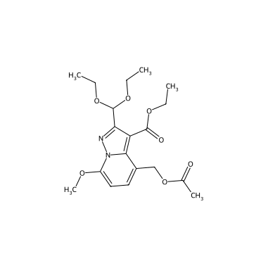 CCOC(=O)c1c(C(OCC)OCC)nn2c(OC)ccc(COC(C)=O)c12